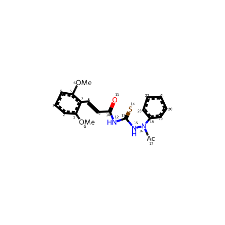 COc1cccc(OC)c1C=CC(=O)NC(=S)NN(C(C)=O)c1ccccc1